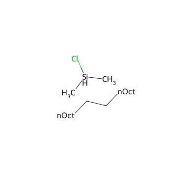 CCCCCCCCCCCCCCCCCC.C[SiH](C)Cl